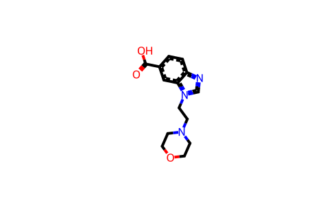 O=C(O)c1ccc2ncn(CCN3CCOCC3)c2c1